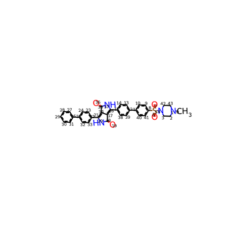 CN1CCN(S(=O)(=O)c2ccc(-c3ccc(C4=C5C(=O)NC(c6ccc(-c7ccccc7)cc6)=C5C(=O)N4)cc3)cc2)CC1